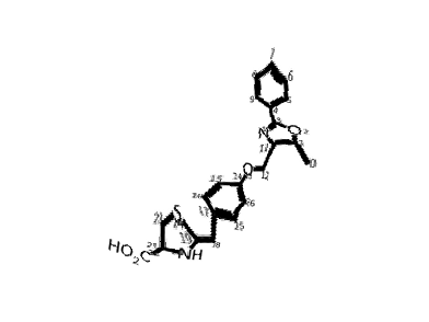 Cc1oc(-c2ccccc2)nc1COc1ccc(CC2NC(C(=O)O)CS2)cc1